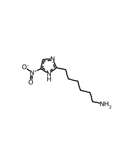 NCCCCCCc1ncc([N+](=O)[O-])[nH]1